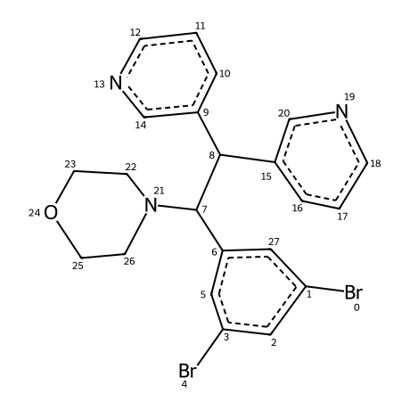 Brc1cc(Br)cc(C(C(c2cccnc2)c2cccnc2)N2CCOCC2)c1